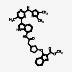 COC(=O)c1sc2ccccc2c1O[C@H]1CCN(CC(=O)Nc2cccc3c(-c4nc(Nc5cc(C)n(C)n5)ncc4C)c[nH]c23)C1